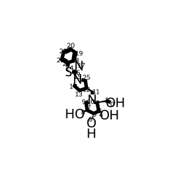 OC[C@H]1[C@@H](O)[C@H](O)[C@@H](O)CN1C[C@H]1CCN(c2nc3ccccc3s2)C1